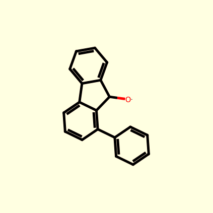 [O]C1c2ccccc2-c2cccc(-c3ccccc3)c21